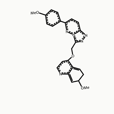 COc1ccc(-c2ccc3nnc(COc4ccnc5c4=CCC(OC)C=5)n3n2)cc1